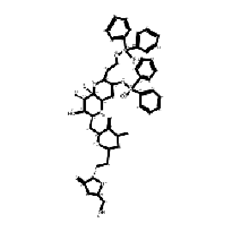 C=C1C(C)CC(CC[C@@H]2OC(CO)CC2=C)OC1C[C@@H]1OC2CC(O[Si](c3ccccc3)(c3ccccc3)C(C)(C)C)C(CCO[Si](c3ccccc3)(c3ccccc3)C(C)(C)C)O[C@H]2[C@H](C)C1O